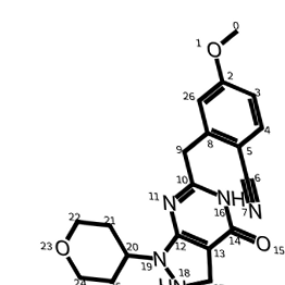 COc1ccc(C#N)c(Cc2nc3c(c(=O)[nH]2)CNN3C2CCOCC2)c1